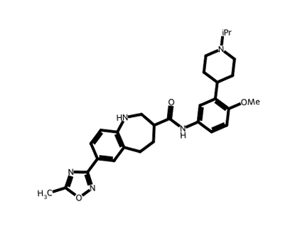 COc1ccc(NC(=O)C2CCc3cc(-c4noc(C)n4)ccc3NC2)cc1C1CCN(C(C)C)CC1